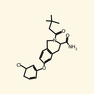 CC(C)(C)CC(=O)N1Cc2ccc(OC3=CC(Cl)CC=C3)cc2CC1C(N)=O